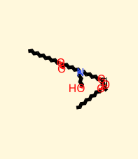 CCCCCCCCCCCOC(=O)CCCCCN(CCCCO)CCCCCCO[Si](C)(C)OC(C)OCCCCCCCCCC